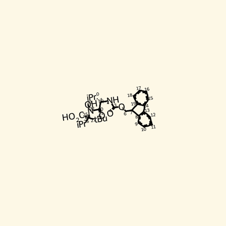 CC(C)[C@H](NC(=O)OCC1c2ccccc2-c2ccccc21)C(=O)N(O)[C@@](C(=O)O)(C(C)C)C(C)(C)C